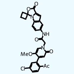 COc1cn(CC(=O)Nc2ccc3c(c2)cc2n3C3(CCC3)OC2=O)c(=O)cc1-c1cc(Cl)ccc1C(C)=O